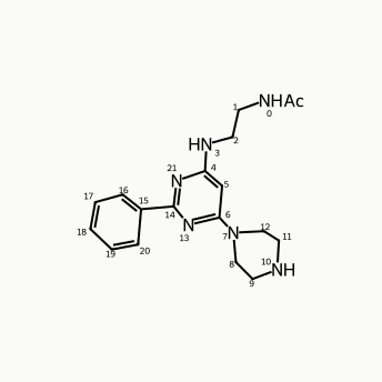 CC(=O)NCCNc1cc(N2CCNCC2)nc(-c2ccccc2)n1